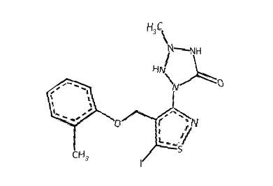 Cc1ccccc1OCc1c(N2NN(C)NC2=O)nsc1I